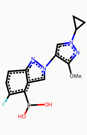 COc1nn(C2CC2)cc1-n1cc2c(B(O)O)c(F)ccc2n1